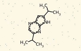 CC(C)c1cnc2cc(C(C)C)[nH]c2n1